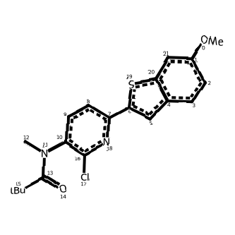 COc1ccc2cc(-c3ccc(N(C)C(=O)C(C)(C)C)c(Cl)n3)sc2c1